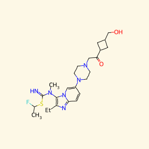 CCc1nc2ccc(N3CCN(CC(=O)C4CC(CO)C4)CC3)cn2c1N(C)C(=N)SC(C)F